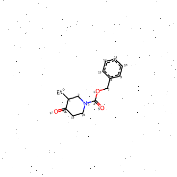 CCC1CN(C(=O)OCc2ccccc2)CCC1=O